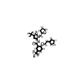 Cn1c(C(C)(C)C)c/c(=N\C(=O)c2cc(C(F)(F)F)ccc2OCCC2=CCCC2)n1C[C@H]1CCCO1